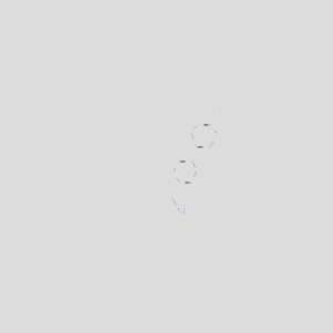 O=C(O)CCC(=NO)c1ccc(-c2ccc(Br)cc2)cc1